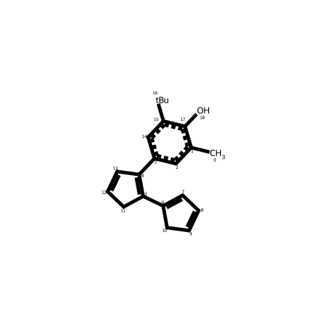 Cc1cc(C2=C(C3=CC=CC3)CC=C2)cc(C(C)(C)C)c1O